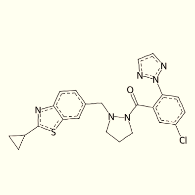 O=C(c1cc(Cl)ccc1-n1nccn1)N1CCCN1Cc1ccc2nc(C3CC3)sc2c1